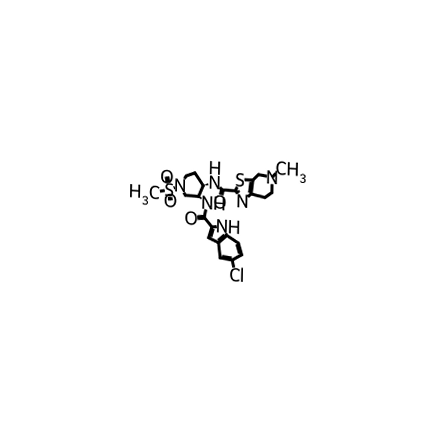 CN1CCc2nc(C(=O)N[C@H]3CCN(S(C)(=O)=O)C[C@H]3NC(=O)c3cc4cc(Cl)ccc4[nH]3)sc2C1